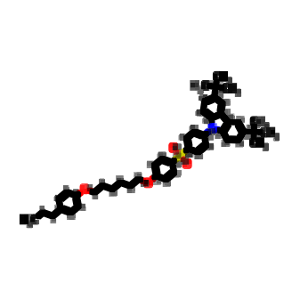 CCCc1ccc(OCCCCCCOc2ccc(S(=O)(=O)c3ccc(-n4c5ccc(C(C)(C)C)cc5c5cc(C(C)(C)C)ccc54)cc3)cc2)cc1